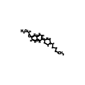 CCCCCC1CCC(c2ccc3cc(OCC)ccc3c2)CC1